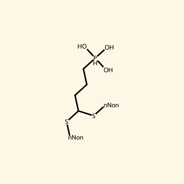 CCCCCCCCCSC(CCC[PH](O)(O)O)SCCCCCCCCC